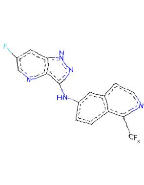 Fc1cnc2c(Nc3ccc4c(C(F)(F)F)nccc4c3)n[nH]c2c1